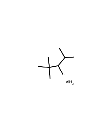 [AlH3].[CH2]C(C(C)C)C(C)(C)C